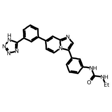 CCNC(=O)Nc1cccc(-c2cnc3cc(-c4cccc(-c5nnn[nH]5)c4)ccn23)c1